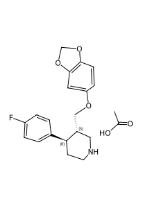 CC(=O)O.Fc1ccc([C@@H]2CCNC[C@H]2COc2ccc3c(c2)OCO3)cc1